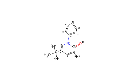 [2H]c1cc(C([2H])([2H])C)cn(-c2ccccc2)c1=O